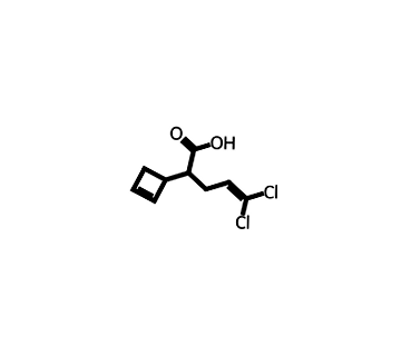 O=C(O)C(CC=C(Cl)Cl)C1C=CC1